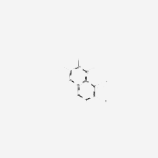 O=C(O)c1cc2ccc(O)c(O)c2c(C(=O)O)c1C(=O)O